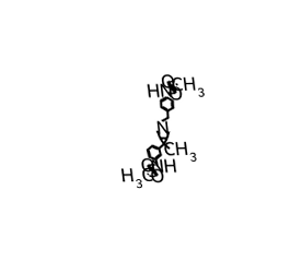 CC1(c2cccc(NS(C)(=O)=O)c2)C2CN(CCc3ccc(NS(C)(=O)=O)cc3)CC21